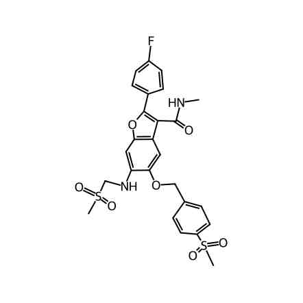 CNC(=O)c1c(-c2ccc(F)cc2)oc2cc(NCS(C)(=O)=O)c(OCc3ccc(S(C)(=O)=O)cc3)cc12